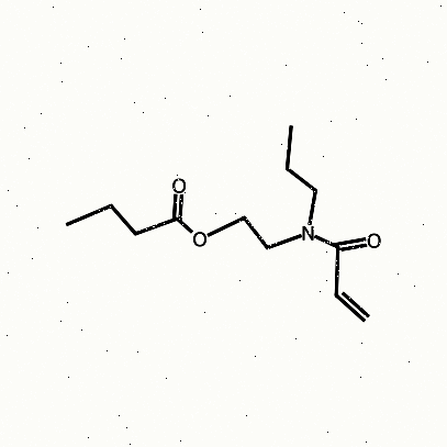 C=CC(=O)N(CCC)CCOC(=O)CCC